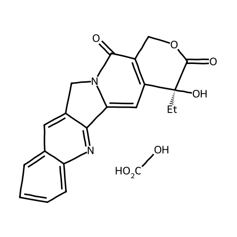 CC[C@@]1(O)C(=O)OCc2c1cc1n(c2=O)Cc2cc3ccccc3nc2-1.O=C(O)O